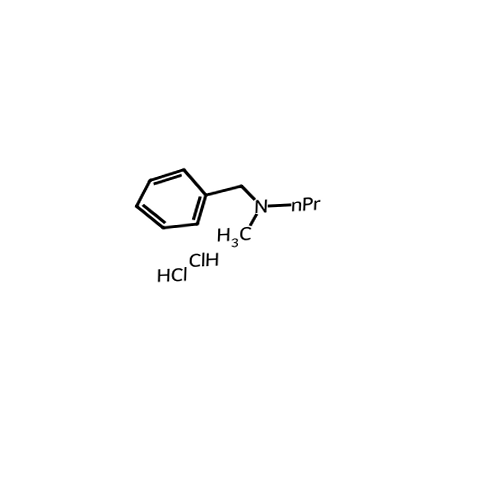 CCCN(C)Cc1ccccc1.Cl.Cl